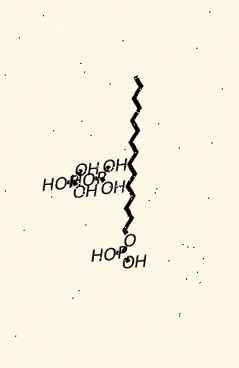 CCCCCCCCCCCCCCCOP(O)O.OP(O)O.OP(O)O